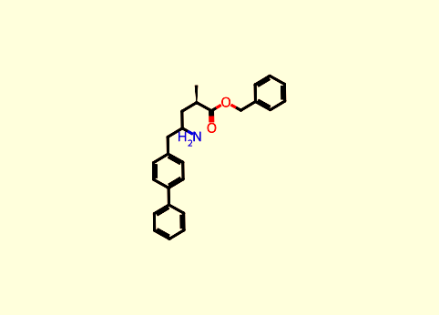 C[C@H](CC(N)Cc1ccc(-c2ccccc2)cc1)C(=O)OCc1ccccc1